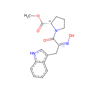 COC(=O)[C@@H]1CCCN1C(=O)/C(Cc1c[nH]c2ccccc12)=N\O